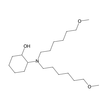 COCCCCCCN(CCCCCCOC)C1CCCCC1O